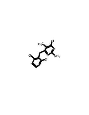 Cc1c(Cl)nc(N)nc1Cc1c(Cl)cccc1Cl